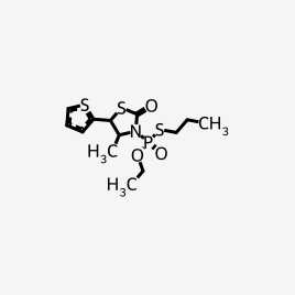 CCCSP(=O)(OCC)N1C(=O)SC(c2cccs2)C1C